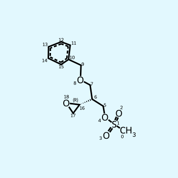 CS(=O)(=O)OCC(COCc1ccccc1)[C@@H]1CO1